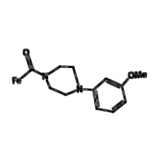 COc1cccc(N2CCN([C](=O)[Fe])CC2)c1